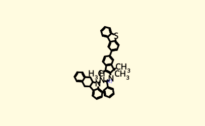 CC1=C(/N=C(\NN2c3ccccc3C3Cc4ccccc4CC32)c2ccccc2)C(C)(C)c2cc(-c3ccc4sc5ccccc5c4c3)ccc21